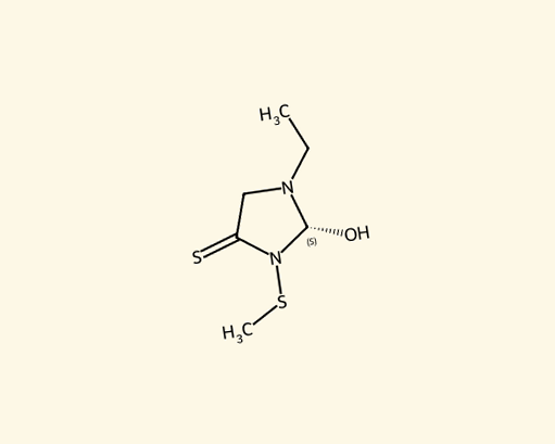 CCN1CC(=S)N(SC)[C@H]1O